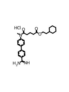 CN(C(=O)CCCC(=O)OCCC1CCCCC1)c1ccc(-c2ccc(C(=N)N)cc2)cc1.Cl